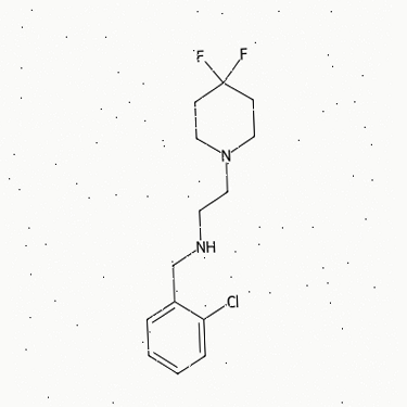 FC1(F)CCN(CCNCc2ccccc2Cl)CC1